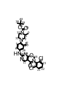 CC1CN(c2ccc(Nc3ncc4c(n3)OCN(c3c(Cl)cccc3Cl)C4=O)cc2F)CCN1C(=O)OC(C)(C)C